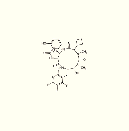 C[C@H]1NC(=O)C(C2CCC2)N(C)C(=O)[C@H](C)[C@H](O)[C@H](Cc2c(F)nc(F)c(F)c2F)NC(=O)[C@H]1NC(=O)c1ccccc1O